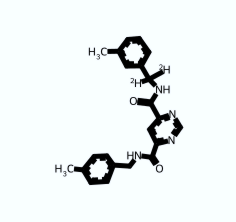 [2H]C([2H])(NC(=O)c1cc(C(=O)NCc2ccc(C)cc2)ncn1)c1cccc(C)c1